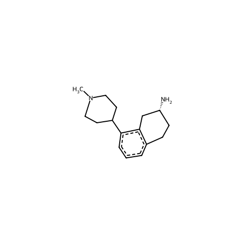 CN1CCC(c2cccc3c2C[C@H](N)CC3)CC1